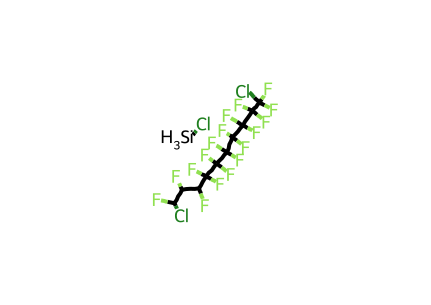 FC(Cl)C(F)C(F)C(F)(F)C(F)(F)C(F)(F)C(F)(F)C(F)(F)C(F)(F)C(F)(F)Cl.[SiH3]Cl